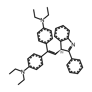 CCN(CC)c1ccc(C(=C[C@@H]2C(c3ccccc3)=Nc3ccccc32)c2ccc(N(CC)CC)cc2)cc1